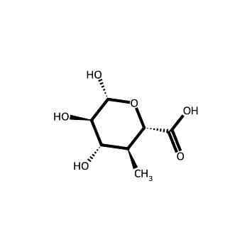 C[C@H]1[C@H](O)[C@@H](O)[C@H](O)O[C@@H]1C(=O)O